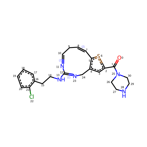 O=C(c1cc2c(s1)/C=C\C/C=N\C(NCCc1ccccc1Cl)=N/C2)N1CCNCC1